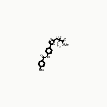 COC(=O)C(C)(C)Cc1ncc(-c2ccc(NC(=O)c3ccc(C(C)(C)C)cc3)cc2)s1